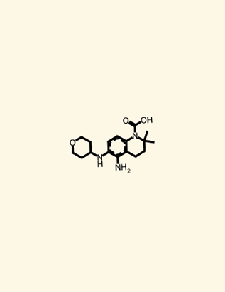 CC1(C)CCc2c(ccc(NC3CCOCC3)c2N)N1C(=O)O